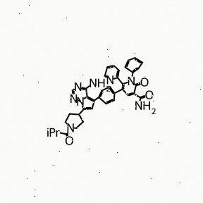 CC(C)C(=O)N1CCC(c2cc(-c3ccc(-c4cc(C(N)=O)c(=O)n(-c5ccccc5)c4-c4ccccn4)cc3)c3c(N)ncnn23)CC1